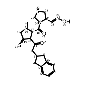 O=C(CC1Cc2ccccc2C1)C1C(=S)CN[C@@H]1C(=O)N1CSC[C@H]1C=NO